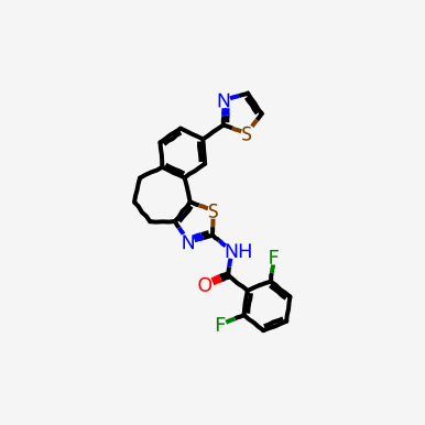 O=C(Nc1nc2c(s1)-c1cc(-c3nccs3)ccc1CCC2)c1c(F)cccc1F